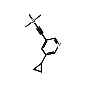 C[Si](C)(C)C#Cc1cncc(C2CC2)c1